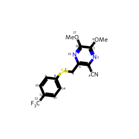 COc1nc(C#N)c(CSc2ccc(C(F)(F)F)cc2)nc1OC